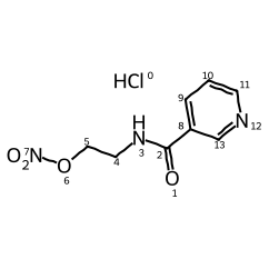 Cl.O=C(NCCO[N+](=O)[O-])c1cccnc1